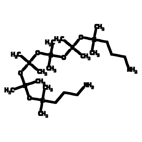 C[Si](C)(CCCN)O[Si](C)(C)O[Si](C)(C)O[Si](C)(C)O[Si](C)(C)O[Si](C)(C)CCCN